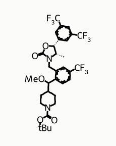 COC(c1ccc(C(F)(F)F)cc1CN1C(=O)O[C@H](c2cc(C(F)(F)F)cc(C(F)(F)F)c2)[C@@H]1C)C1CCN(C(=O)OC(C)(C)C)CC1